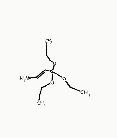 CCO[Si](C=CN)(OCC)OCC